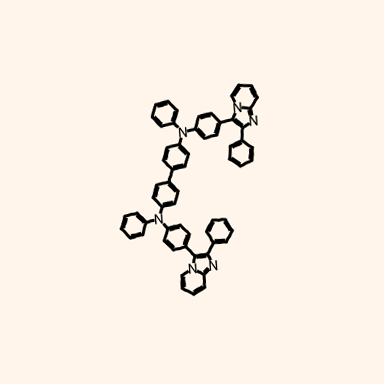 c1ccc(-c2nc3ccccn3c2-c2ccc(N(c3ccccc3)c3ccc(-c4ccc(N(c5ccccc5)c5ccc(-c6c(-c7ccccc7)nc7ccccn67)cc5)cc4)cc3)cc2)cc1